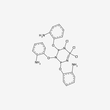 Nc1ccccc1ON1P(Oc2ccccc2N)N=P(Cl)(Cl)N(Cl)P1Oc1ccccc1N